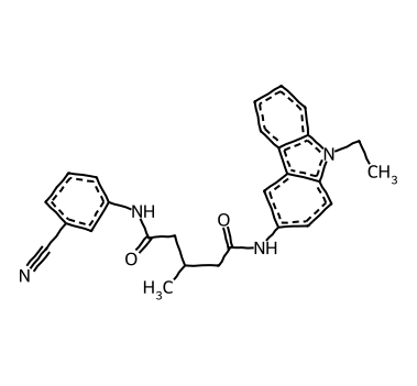 CCn1c2ccccc2c2cc(NC(=O)CC(C)CC(=O)Nc3cccc(C#N)c3)ccc21